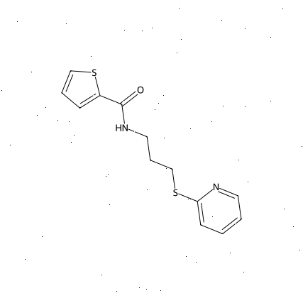 O=C(NCCCSc1ccccn1)c1cccs1